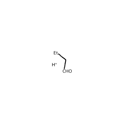 CCCC=O.[H+]